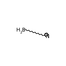 BCCCCCCCCCCCCc1cccnc1